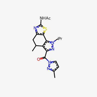 CC(=O)Nc1nc2c(s1)-c1c(c(C(=O)n3ccc(C)n3)nn1C(C)C)C(C)C2